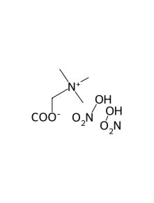 C[N+](C)(C)CC(=O)[O-].O=[N+]([O-])O.O=[N+]([O-])O